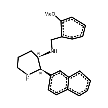 COc1ccccc1CN[C@@H]1CCCN[C@@H]1c1ccc2ccccc2c1